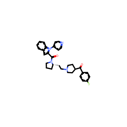 O=C(c1ccc(F)cc1)C1CCN(CC[C@@H]2CCCN2C(=O)c2cc3ccccc3n2-c2ccncc2)CC1